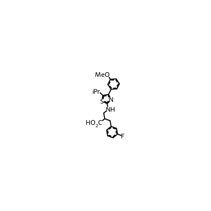 COc1cccc(-c2nc(NCC(Cc3cccc(F)c3)C(=O)O)sc2C(C)C)c1